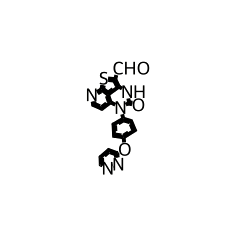 O=Cc1sc2nccc3c2c1NC(=O)N3c1ccc(Oc2cccnn2)cc1